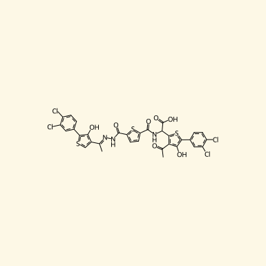 CC(=O)c1c(C(NC(=O)c2ccc(C(=O)NN=C(C)c3csc(-c4ccc(Cl)c(Cl)c4)c3O)s2)C(=O)O)sc(-c2ccc(Cl)c(Cl)c2)c1O